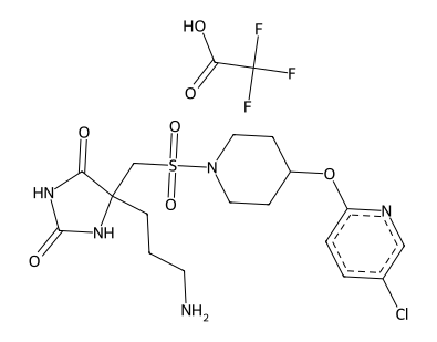 NCCCC1(CS(=O)(=O)N2CCC(Oc3ccc(Cl)cn3)CC2)NC(=O)NC1=O.O=C(O)C(F)(F)F